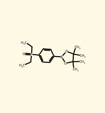 CCP(=O)(CC)c1ccc(B2OC(C)(C)C(C)(C)O2)cc1